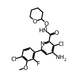 COc1c(Cl)ccc(-c2cc(N)c(Cl)c(C(=O)NOC3CCCCO3)n2)c1F